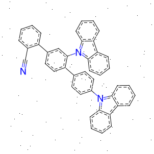 N#Cc1ccccc1-c1ccc(-c2ccc(-n3c4ccccc4c4ccccc43)cc2)c(-n2c3ccccc3c3ccccc32)c1